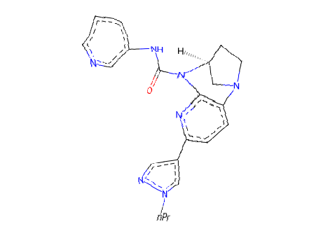 CCCn1cc(-c2ccc3c(n2)N(C(=O)Nc2cccnc2)[C@H]2CCN3C2)cn1